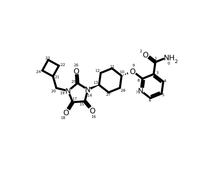 NC(=O)c1cccnc1O[C@H]1CC[C@H](N2C(=O)C(=O)N(CC3CCC3)C2=O)CC1